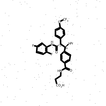 CCC[C@@H](c1ccc(C(=O)NCCC(=O)O)cc1)[C@H](C(=O)Nc1cc(F)ccc1F)c1ccc(OC(F)(F)F)cc1